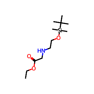 CCOC(=O)CNCCO[Si](C)(C)C(C)(C)C